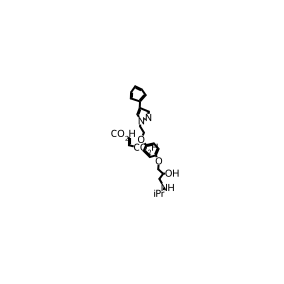 CC(C)NCC(O)COc1ccc(OCCn2cc(-c3ccccc3)cn2)cc1.O=C(O)/C=C\C(=O)O